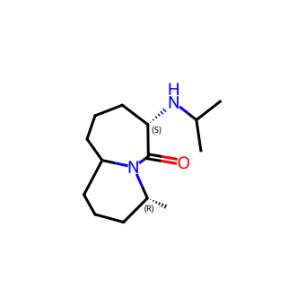 CC(C)N[C@H]1CCCC2CCC[C@@H](C)N2C1=O